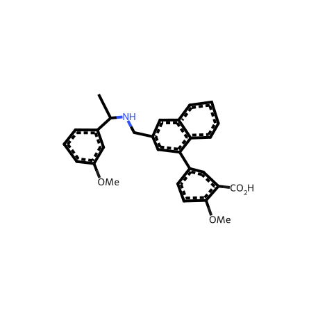 COc1cccc(C(C)NCc2cc(-c3ccc(OC)c(C(=O)O)c3)c3ccccc3c2)c1